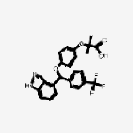 CC(C)(Oc1ccc(OC(c2ccc(C(F)(F)F)cc2)c2cccc3[nH]ncc23)cc1)C(=O)O